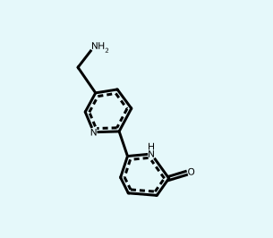 NCc1ccc(-c2cccc(=O)[nH]2)nc1